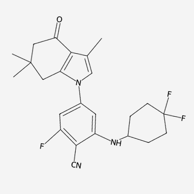 Cc1cn(-c2cc(F)c(C#N)c(NC3CCC(F)(F)CC3)c2)c2c1C(=O)CC(C)(C)C2